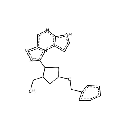 CCC1CC(OCc2ccccc2)CC1c1nnc2cnc3[nH]ccc3n12